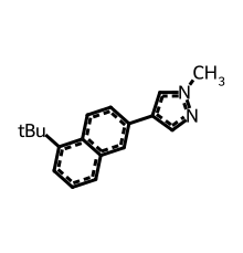 Cn1cc(-c2ccc3c(C(C)(C)C)cccc3c2)cn1